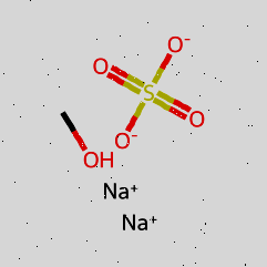 CO.O=S(=O)([O-])[O-].[Na+].[Na+]